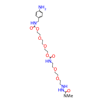 CNC(=O)NNCCOCCOCCNC(=O)OCCOCCOCCOC(=O)NCc1ccc(N)cc1